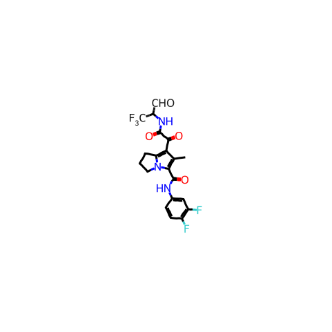 Cc1c(C(=O)C(=O)NC(C=O)C(F)(F)F)c2n(c1C(=O)Nc1ccc(F)c(F)c1)CCC2